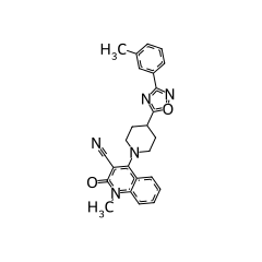 Cc1cccc(-c2noc(C3CCN(c4c(C#N)c(=O)n(C)c5ccccc45)CC3)n2)c1